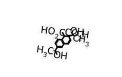 CC(O)c1ccc2c(c1)C=CC(C(=O)O)(C(C)O)C2C(=O)O